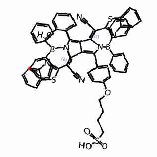 Cc1ccccc1-c1c2/c(=C(\C#N)c3nc4ccccc4s3)n(B(c3ccccc3)c3ccccc3)c(-c3ccc(OCCCCS(=O)(=O)O)cc3)c2/c(=C(\C#N)c2nc3ccccc3s2)n1B(c1ccccc1)c1ccccc1